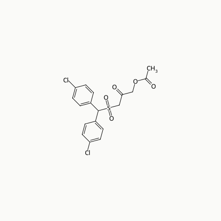 CC(=O)OCC(=O)CS(=O)(=O)C(c1ccc(Cl)cc1)c1ccc(Cl)cc1